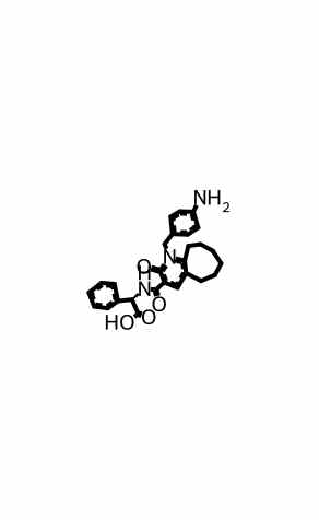 Nc1ccc(Cn2c3c(cc(C(=O)N[C@@H](C(=O)O)c4ccccc4)c2=O)CCCCCC3)cc1